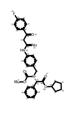 CC(C)(C)OC(=O)N(Cc1ccc(NC(=N)CC(=O)c2ccc(F)cc2)cc1)[C@H](C(=O)OC1CCCC1)c1ccccc1